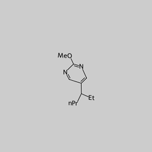 CCCC(CC)c1cnc(OC)nc1